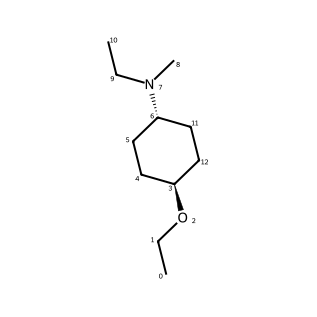 CCO[C@H]1CC[C@H](N(C)CC)CC1